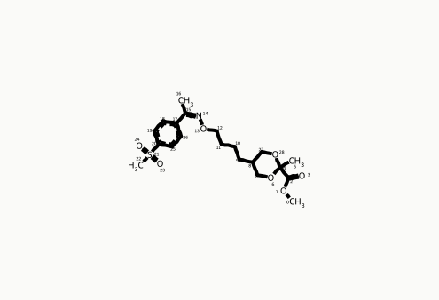 COC(=O)C1(C)OCC(CCCCON=C(C)c2ccc(S(C)(=O)=O)cc2)CO1